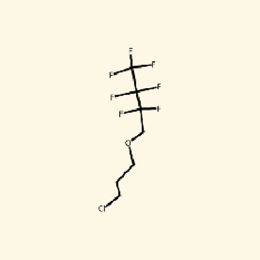 FC(F)(F)C(F)(F)C(F)(F)COCCCCl